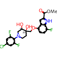 COC(=O)c1cc2c(OC[C@]3(O)CCN(c4c(F)cc(Cl)cc4F)C[C@H]3O)ccc(F)c2[nH]1